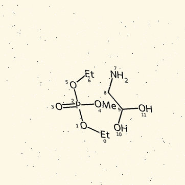 CCOP(=O)(OC)OCC.NCC(O)O